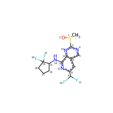 C[S+]([O-])c1ncc2cc(C(F)F)nc(NC3CCCC3(F)F)c2n1